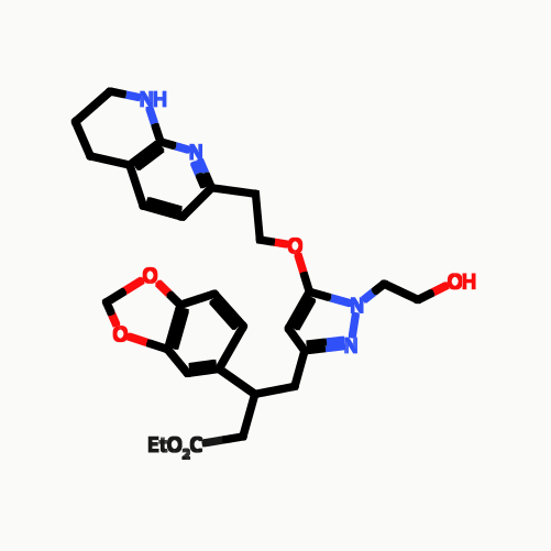 CCOC(=O)CC(Cc1cc(OCCc2ccc3c(n2)NCCC3)n(CCO)n1)c1ccc2c(c1)OCO2